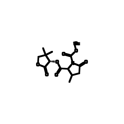 CC1CC(=O)N(C(=O)OC(C)(C)C)C1C(=O)O[C@@H]1C(=O)OCC1(C)C